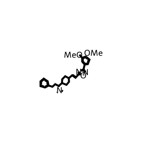 COc1ccc(-c2noc(C=CC3CCC(C(CCc4ccccc4)N(C)C)CC3)n2)cc1OC